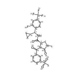 CN1C[C@H](C(=O)NC(c2ccc(C(F)(F)F)cc2F)C2CC2)N(C(=O)c2cccc(S(C)(=O)=O)c2)C1=O